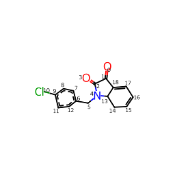 O=C1C(=O)N(Cc2ccc(Cl)cc2)C2CC=CC=C12